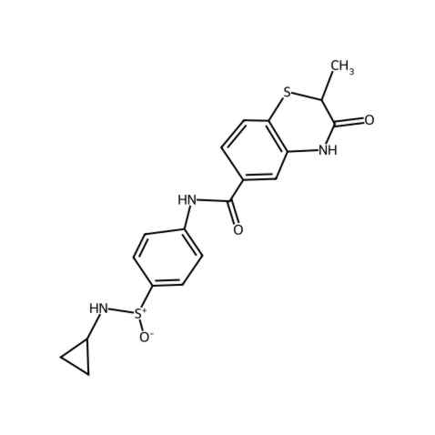 CC1Sc2ccc(C(=O)Nc3ccc([S+]([O-])NC4CC4)cc3)cc2NC1=O